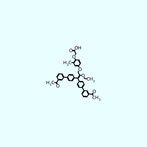 CCOC(COc1ccc(OCC(=O)O)c(C)c1)=C(c1ccc(-c2cccc(C(C)=O)c2)cc1)c1ccc(-c2cccc(C(C)=O)c2)cc1